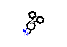 c1ccc([Si]2(c3ccccc3)CCC3CN=NC3CC2)cc1